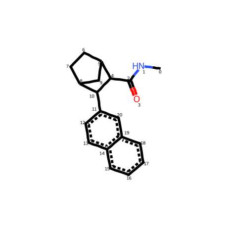 CNC(=O)C1C2CCC(C2)C1c1ccc2ccccc2c1